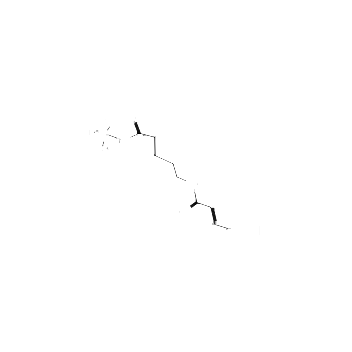 CCOC(=O)/C=C/C(=O)OCCCCC(=O)O[Si](CC)(CC)CC